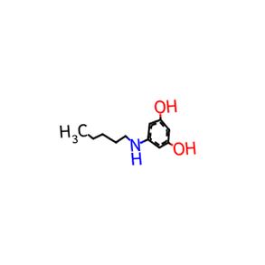 CCCCCNc1cc(O)cc(O)c1